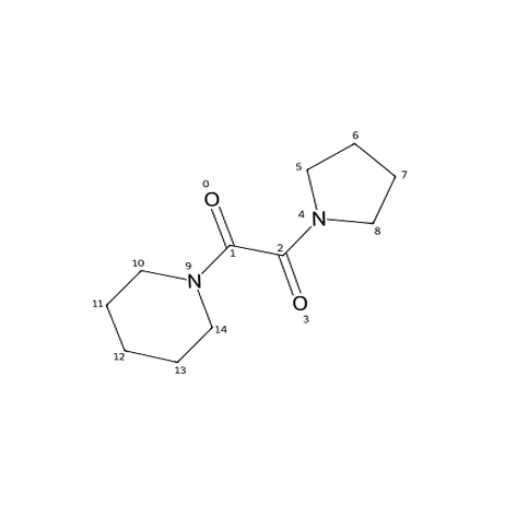 O=C(C(=O)N1CCCC1)N1CCCCC1